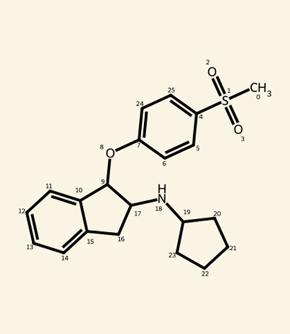 CS(=O)(=O)c1ccc(OC2c3ccccc3CC2NC2CCCC2)cc1